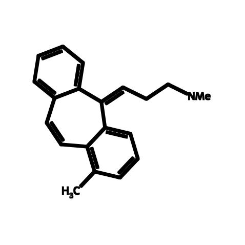 CNCCC=C1c2ccccc2C=Cc2c(C)cccc21